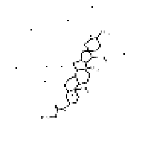 C=CC(=O)OC1CCC2(C)C(CCC3C2CCC2(C)C3CC3OC4(CCC(C)CO4)C(C)C32)C1